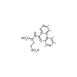 O=C(N[C@@H](CCS(=O)(=O)O)C(=O)O)c1ccccc1-c1ccccc1